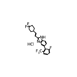 Cl.Fc1cccc(C(F)(F)F)c1-c1ccc2[nH]c(C=CC3CCC(F)(F)CC3)nc2c1